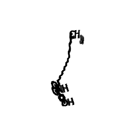 CCCCCCCCCCCCCCCCCCCC(=O)NC(=O)c1ccc(O)cc1